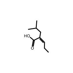 CCC=C(CC(C)C)C(=O)O